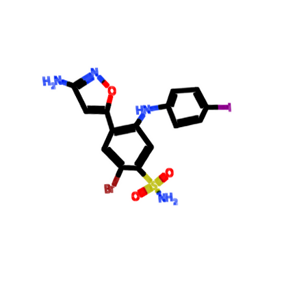 Nc1cc(-c2cc(Br)c(S(N)(=O)=O)cc2Nc2ccc(I)cc2)on1